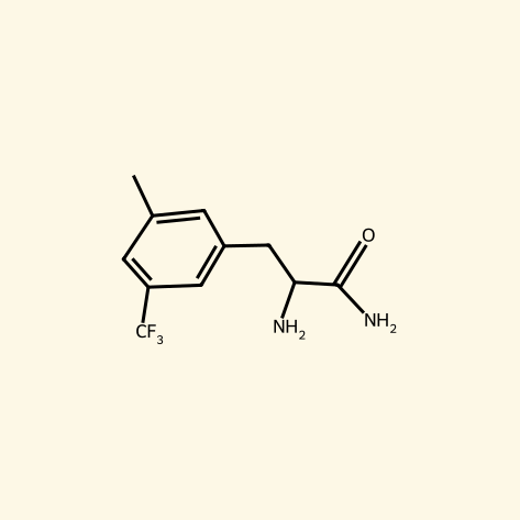 Cc1cc(CC(N)C(N)=O)cc(C(F)(F)F)c1